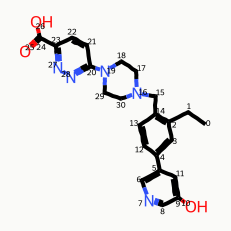 CCc1cc(-c2cncc(O)c2)ccc1CN1CCN(c2ccc(C(=O)O)nn2)CC1